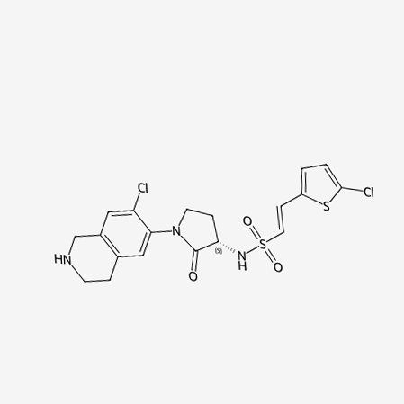 O=C1[C@@H](NS(=O)(=O)C=Cc2ccc(Cl)s2)CCN1c1cc2c(cc1Cl)CNCC2